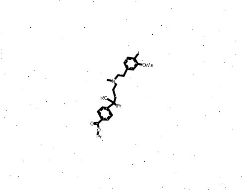 COc1cc(CCN(C)CCCC(C#N)(c2ccc(C(=O)OC(C)C)cc2)C(C)C)ccc1I